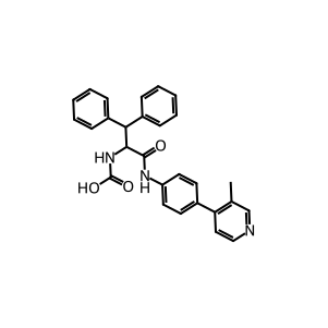 Cc1cnccc1-c1ccc(NC(=O)C(NC(=O)O)C(c2ccccc2)c2ccccc2)cc1